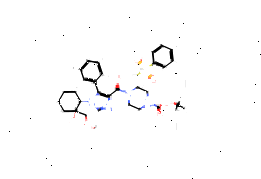 COC[C@]1(O)CCCC[C@H]1n1cnc(C(=O)N2CCN(C(=O)OC(C)(C)C)C[C@H]2CS(=O)(=O)c2ccccc2)c1-c1ccccc1